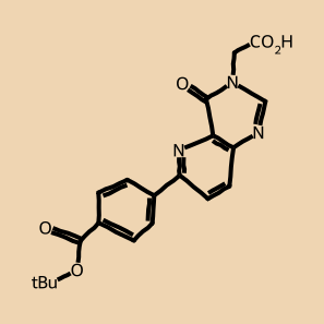 CC(C)(C)OC(=O)c1ccc(-c2ccc3ncn(CC(=O)O)c(=O)c3n2)cc1